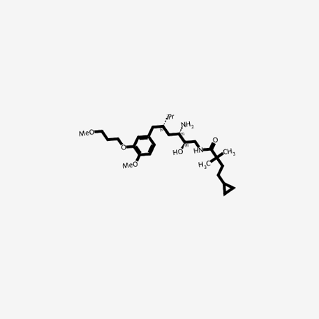 COCCCOc1cc(C[C@@H](C[C@H](N)[C@H](O)CNC(=O)C(C)(C)CCC2CC2)C(C)C)ccc1OC